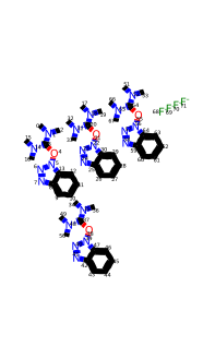 CN(C)C(On1nnc2ccccc21)=[N+](C)C.CN(C)C(On1nnc2ccccc21)=[N+](C)C.CN(C)C(On1nnc2ccccc21)=[N+](C)C.CN(C)C(On1nnc2ccccc21)=[N+](C)C.[F-].[F-].[F-].[F-]